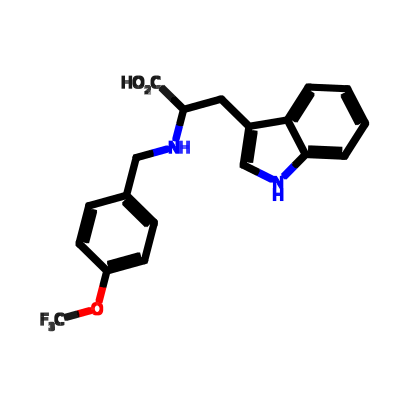 O=C(O)C(Cc1c[nH]c2ccccc12)NCc1ccc(OC(F)(F)F)cc1